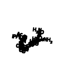 CC[C@@]1(OC(=O)OCc2ccc(NC(=O)[C@H](CCCCN)NC(=O)COCC(N)=O)cc2C)C(=O)OCc2c1cc1n(c2=O)Cc2c-1nc1ccccc1c2CCN(C(C)=O)C(C)C